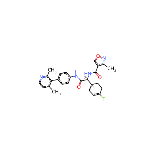 Cc1ccnc(C)c1-c1ccc(NC(=O)[C@@H](NC(=O)c2conc2C)[C@@H]2CC=C(F)CC2)cc1